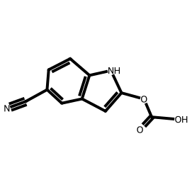 N#Cc1ccc2[nH]c(OC(=O)O)cc2c1